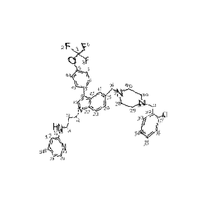 FC(F)(F)Oc1ccc(-c2cn(CCCNc3ccccn3)c3ccc(CN4CCN(Cc5ccccc5Cl)CC4)cc23)cc1